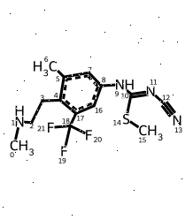 CNCCc1c(C)cc(N/C(=N/C#N)SC)cc1C(F)(F)F